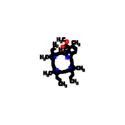 C=Cc1c(C)c2cc3nc(cc4[nH]c(cc5nc(cc1[nH]2)C1(C)C5=CC=C(C)C1C(=O)OC)c(C)c4CCC)C(CCC)=C3C